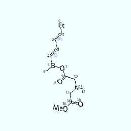 CC/C=C/C=C/B(C)OC(=O)CN(C)CC(=O)OC